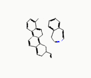 C1=Cc2ccccc2CC=N1.C=CC1CC=c2ccc3c(c2C1)CC=c1c(C)cccc1=3